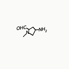 CN1CC(N)CC1C=O